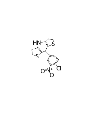 O=[N+]([O-])c1cc(C2C3=C(CCS3)NC3=C2SCC3)ccc1Cl